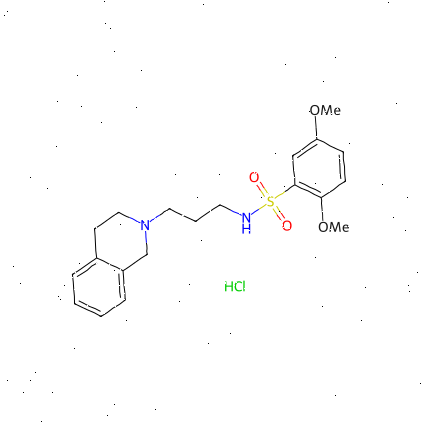 COc1ccc(OC)c(S(=O)(=O)NCCCN2CCc3ccccc3C2)c1.Cl